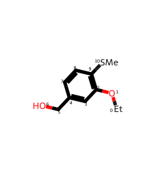 CCOc1cc(CO)ccc1SC